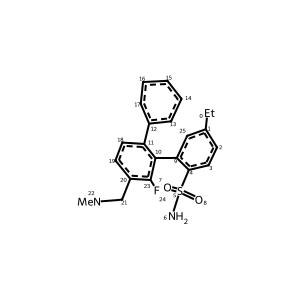 CCc1ccc(S(N)(=O)=O)c(-c2c(-c3ccccc3)ccc(CNC)c2F)c1